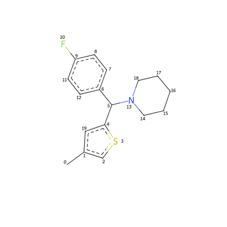 Cc1csc(C(c2ccc(F)cc2)N2CCCCC2)c1